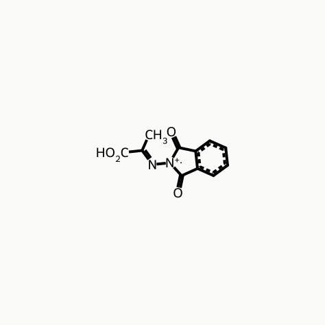 CC(=N[N+]1C(=O)c2ccccc2C1=O)C(=O)O